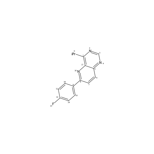 CC(C)c1ncnc2ccc(-c3ccc(F)cc3)nc12